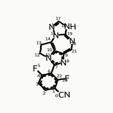 N#Cc1ccc(F)c(-c2nc3c4n2CCC=4N2N=CNC2=NC=3)c1F